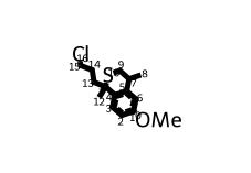 COc1ccc2c(c1)C(C)CSC2(C)CCCCl